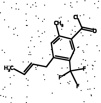 CC=CCc1cc(C)c(C(=O)Cl)cc1C(F)(F)F